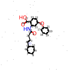 O=C(C/C=C/c1ccccc1)Nc1cc(Oc2ccccc2)ccc1C(=O)O